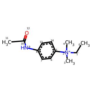 C[CH][N+](C)(C)c1ccc(NC(C)=O)cc1